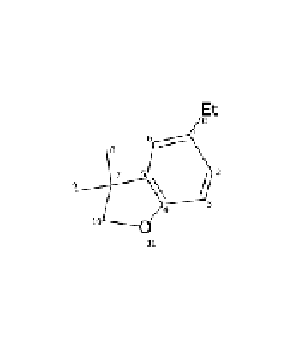 CCc1ccc2c(c1)C(C)(C)CO2